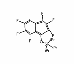 CC(C)[Si](Oc1c(F)c(F)c(F)c2[c]c(F)c(F)c(F)c12)(C(C)C)C(C)C